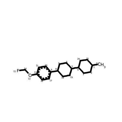 CC1CCC(C2CCC(c3ccc(OCF)cc3)CC2)CC1